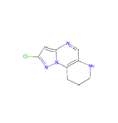 Clc1cc2ncc3c(n2n1)CCCN3